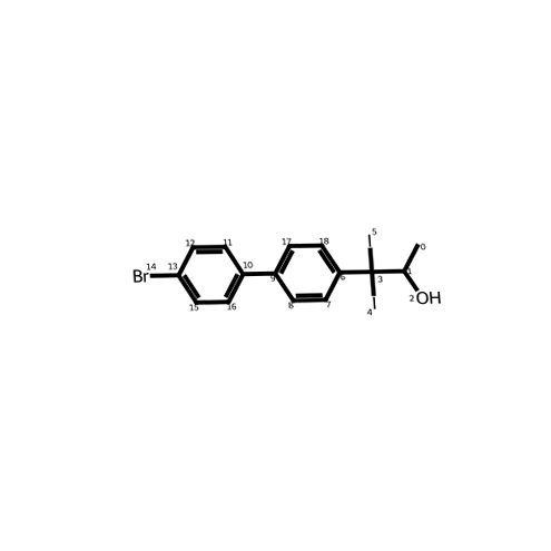 CC(O)C(I)(I)c1ccc(-c2ccc(Br)cc2)cc1